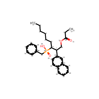 CCCCCCC(C(COC(=O)CC)c1ccc2ccccc2c1)P(=O)(O)Cc1ccccc1